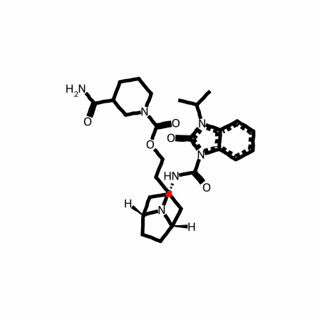 CC(C)n1c(=O)n(C(=O)N[C@H]2C[C@H]3CC[C@@H](C2)N3CCCOC(=O)N2CCCC(C(N)=O)C2)c2ccccc21